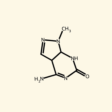 CN1N=CC2C(N)=NC(=O)NC21